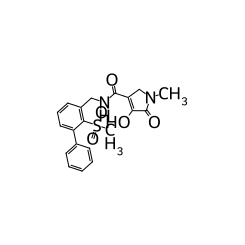 CN1CC(C(=O)NCc2cccc(-c3ccccc3)c2S(C)(=O)=O)=C(O)C1=O